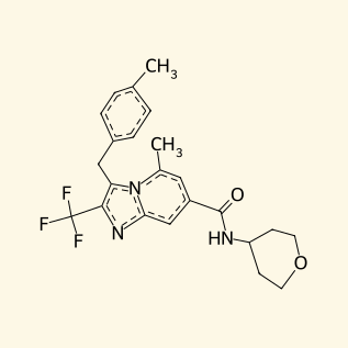 Cc1ccc(Cc2c(C(F)(F)F)nc3cc(C(=O)NC4CCOCC4)cc(C)n23)cc1